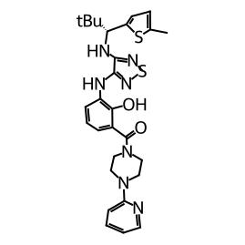 Cc1ccc([C@H](Nc2nsnc2Nc2cccc(C(=O)N3CCN(c4ccccn4)CC3)c2O)C(C)(C)C)s1